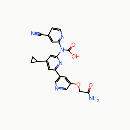 N#Cc1ccnc(N(C(=O)O)c2cc(C3CC3)cc(-c3cncc(OCC(N)=O)c3)n2)c1